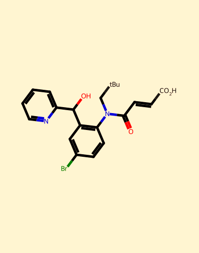 CC(C)(C)CN(C(=O)C=CC(=O)O)c1ccc(Br)cc1C(O)c1ccccn1